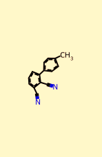 Cc1ccc(-c2cccc(C#N)c2C#N)cc1